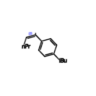 CCC/C=[C]\c1ccc(C(C)CC)cc1